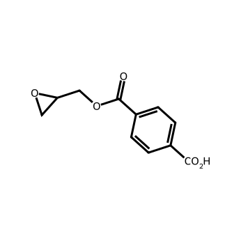 O=C(O)c1ccc(C(=O)OCC2CO2)cc1